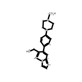 O=C(O)N1CCN(c2ccc(-c3cc4nccn4nc3CO)cc2)CC1